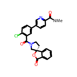 CNC(=O)c1ccc(-c2ccc(Cl)c(C(=O)N3CC[C@@]4(C3)OC(=O)c3ccccc34)c2)cn1